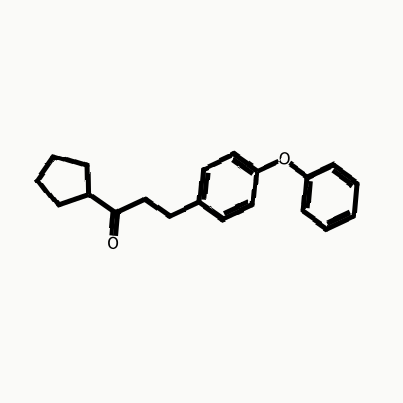 O=C(CCc1ccc(Oc2ccccc2)cc1)C1CCCC1